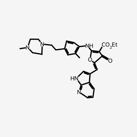 CCOC(=O)C1=C(Nc2ccc(CCN3CCN(C)CC3)cc2C)OC(=Cc2c[nH]c3ncccc23)C1=O